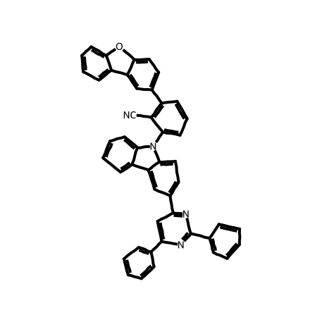 N#Cc1c(-c2ccc3oc4ccccc4c3c2)cccc1-n1c2ccccc2c2cc(-c3cc(-c4ccccc4)nc(-c4ccccc4)n3)ccc21